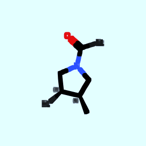 CCC(=O)N1C[C@H](CC)[C@H](C)C1